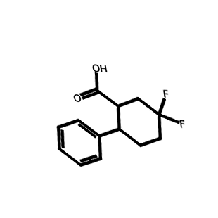 O=C(O)C1CC(F)(F)CCC1c1ccccc1